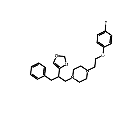 Fc1ccc(OCCN2CCN(CC(Cc3ccccc3)C3=COCO3)CC2)cc1